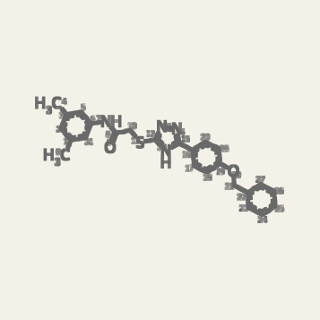 Cc1cc(C)cc(NC(=O)CSc2nnc(-c3ccc(OCc4ccccc4)cc3)[nH]2)c1